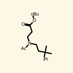 CCCCOC(=O)CCN(CCC(C)(C)C(C)C)C(C)=O